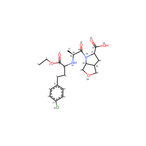 CCOC(=O)C(CCc1ccc(Cl)cc1)N[C@@H](C)C(=O)N1C(C(=O)O)CC2COCC21